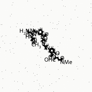 CNC(=O)CCC(C=O)N1C(=O)c2ccc(N3CC(CN4CC5(C4)CN(C4CCCN(c6cnc(C(N)=O)c(Nc7cnn(C)c7)n6)C4)C(=O)O5)C3)cc2C1=O